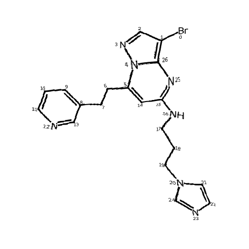 Brc1cnn2c(CCc3cccnc3)cc(NCCCn3ccnc3)nc12